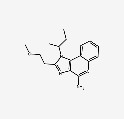 CCC(C)n1c(CCOC)nc2c(N)nc3ccccc3c21